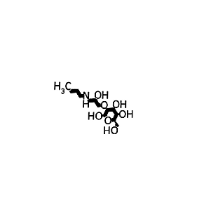 CCCCNCC(O)CO[C@@H]1[C@@H](O)[C@@H](O)[C@@H](CO)O[C@H]1O